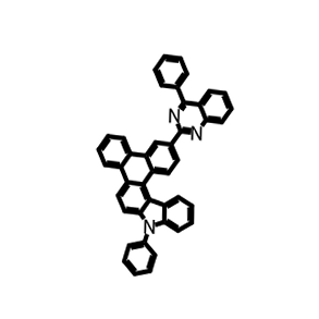 c1ccc(-c2nc(-c3ccc4c(c3)c3ccccc3c3ccc5c(c6ccccc6n5-c5ccccc5)c34)nc3ccccc23)cc1